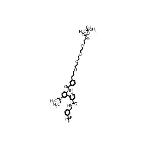 CCN(CC)c1ccc(NC(=O)c2cccc(CCCOCCOCCOCCOCCNC(=O)OC(C)(C)C)c2)c(-c2cc(C(=O)NCc3cccc(C(F)(F)F)c3)ccn2)c1